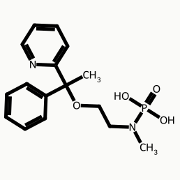 CN(CCOC(C)(c1ccccc1)c1ccccn1)P(=O)(O)O